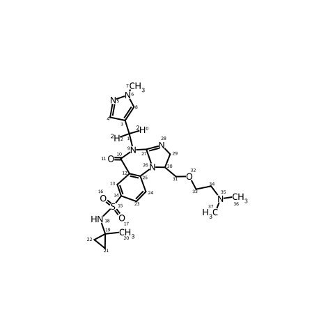 [2H]C([2H])(c1cnn(C)c1)N1C(=O)c2cc(S(=O)(=O)NC3(C)CC3)ccc2N2C1=NCC2COCCN(C)C